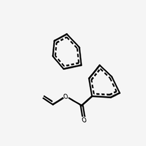 C=COC(=O)c1ccccc1.c1ccccc1